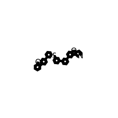 c1cc(Sc2cccc(-c3ccc4c(c3)oc3ccccc34)c2)cc(-c2cccc(-c3ccc4oc5ccncc5c4c3)c2)c1